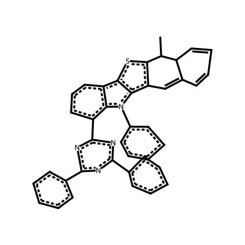 CC1c2sc3c4cccc(-c5nc(-c6ccccc6)nc(-c6ccccc6)n5)c4n(-c4ccccc4)c3c2C=C2C=CC=CC21